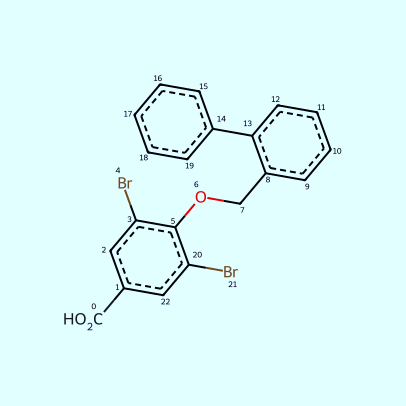 O=C(O)c1cc(Br)c(OCc2ccccc2-c2ccccc2)c(Br)c1